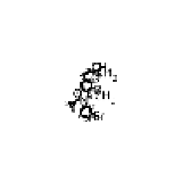 COc1c(CN(C(=O)C2CC2)c2cccc(Br)c2)ccc2c1OC(C)(C)C=C2